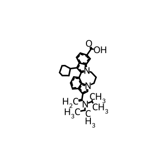 C=C(c1cn2c3c(cccc13)-c1c(C3CCCCC3)c3ccc(C(=O)O)cc3n1CCC2)N(C(C)C)C(C)C